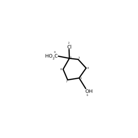 O=C(O)C1(Cl)CCC(O)CC1